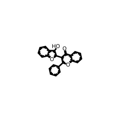 O=c1c(-c2oc3ccccc3c2O)c(-c2ccccc2)oc2ccccc12